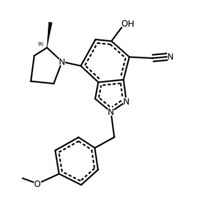 COc1ccc(Cn2cc3c(N4CCC[C@H]4C)cc(O)c(C#N)c3n2)cc1